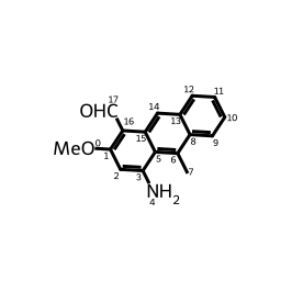 COc1cc(N)c2c(C)c3ccccc3cc2c1C=O